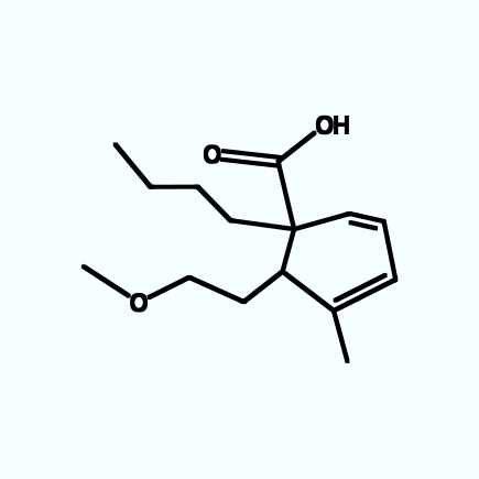 CCCCC1(C(=O)O)C=CC=C(C)C1CCOC